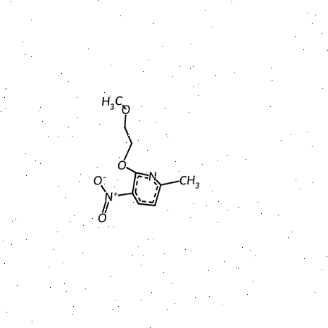 COCCOc1nc(C)ccc1[N+](=O)[O-]